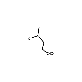 C[S+]([O-])CC[C]=O